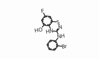 Oc1cc(F)cc2c1NC(Nc1ccccc1Br)=NS2